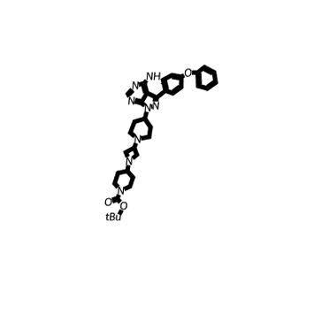 CC(C)(C)OC(=O)N1CCC(N2CC(N3CCC(n4nc(-c5ccc(Oc6ccccc6)cc5)c5c(N)ncnc54)CC3)C2)CC1